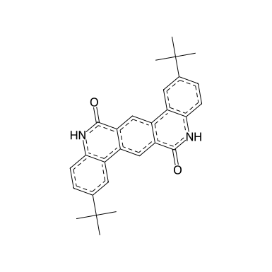 CC(C)(C)c1ccc2[nH]c(=O)c3cc4c(cc3c2c1)c(=O)[nH]c1ccc(C(C)(C)C)cc14